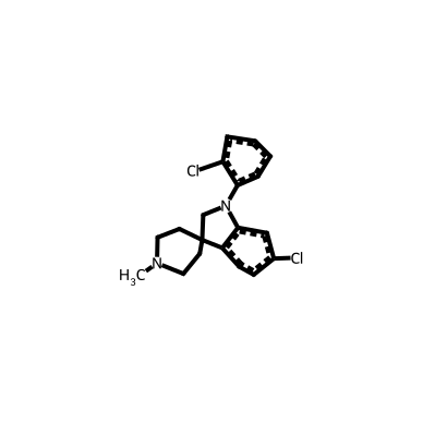 CN1CCC2(CC1)CN(c1ccccc1Cl)c1cc(Cl)ccc12